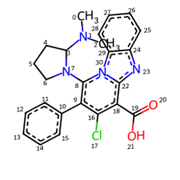 CN(C)C1CCCN1c1c(-c2ccccc2)c(Cl)c(C(=O)O)c2nc3ccccc3n12